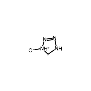 [O-][NH+]1[CH]NN=N1